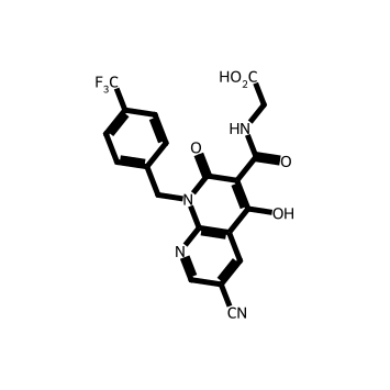 N#Cc1cnc2c(c1)c(O)c(C(=O)NCC(=O)O)c(=O)n2Cc1ccc(C(F)(F)F)cc1